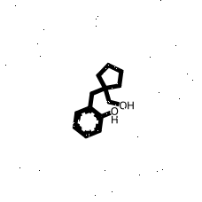 OCC1(Cc2ccccc2O)CCCC1